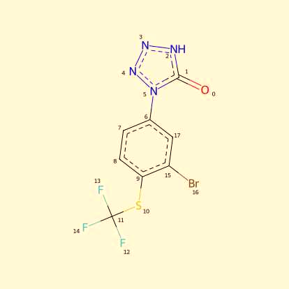 O=c1[nH]nnn1-c1ccc(SC(F)(F)F)c(Br)c1